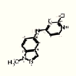 Cn1ncc2cc(Nc3ccnc(Cl)n3)ccc21